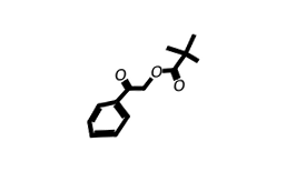 CC(C)(C)C(=O)OCC(=O)c1ccccc1